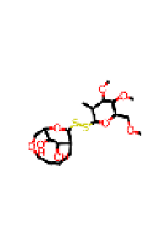 COCC1OC(SSC2OC3COCCCCC2C(O)C3O)C(C)C(OC)C1OC